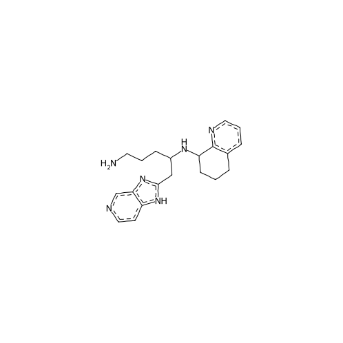 NCCCC(Cc1nc2cnccc2[nH]1)NC1CCCc2cccnc21